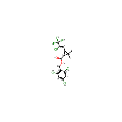 CC1(C)C(C=C(Cl)C(F)(F)F)C1C(=O)OCc1c(Cl)cc(Cl)cc1Cl